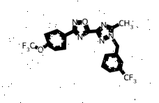 Cc1nc(-c2nc(-c3ccc(OC(F)(F)F)cc3)no2)nn1Cc1cccc(C(F)(F)F)c1